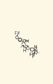 CC(C)n1cnc2cc(OC[C@@H]3C[C@](O)(c4ccc(OC(F)F)cc4)C[C@H](C)N3)cc(C(F)(F)F)c21